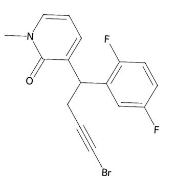 Cn1cccc(C(CC#CBr)c2cc(F)ccc2F)c1=O